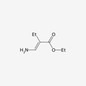 CCOC(=O)C(=CN)CC